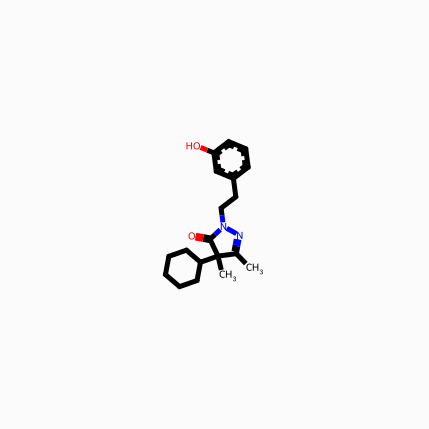 CC1=NN(CCc2cccc(O)c2)C(=O)C1(C)C1CCCCC1